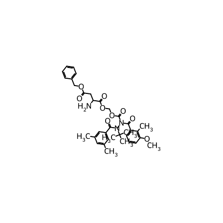 COc1cccc(C(=O)N(C(=O)OCOC(=O)C(N)CC(=O)OCc2ccccc2)N(C(=O)c2cc(C)cc(C)c2)C(C)(C)C)c1C